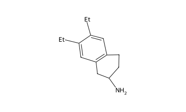 CCc1cc2c(cc1CC)CC(N)CC2